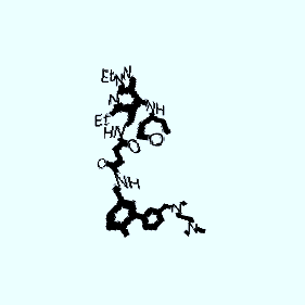 CCc1nc2c(cnn2CC)c(NC2CCOCC2)c1CNC(=O)CCC(=O)NCc1ccc(C)c(-c2cccc(CN(C)CCN(C)C)c2)c1